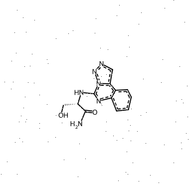 NC(=O)[C@H](CO)Nc1nc2ccccc2c2cnnn12